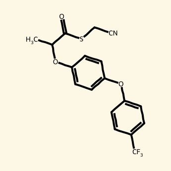 CC(Oc1ccc(Oc2ccc(C(F)(F)F)cc2)cc1)C(=O)SCC#N